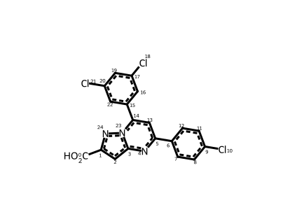 O=C(O)c1cc2nc(-c3ccc(Cl)cc3)cc(-c3cc(Cl)cc(Cl)c3)n2n1